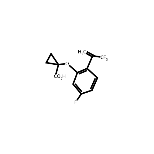 C=C(c1ccc(F)cc1OC1(C(=O)O)CC1)C(F)(F)F